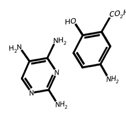 Nc1ccc(O)c(C(=O)O)c1.Nc1ncc(N)c(N)n1